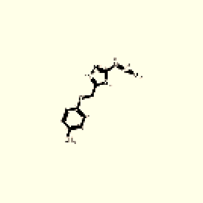 Cc1ccc(OCc2nnc(N=C=O)s2)cc1